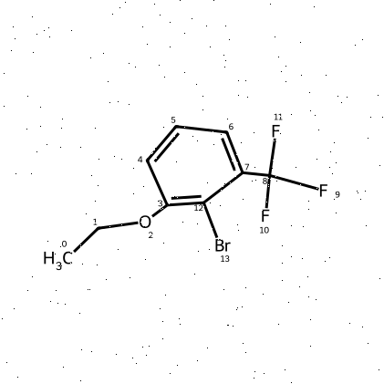 CCOc1cccc(C(F)(F)F)c1Br